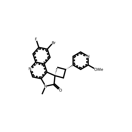 COc1cc([C@H]2C[C@]3(C2)C(=O)N(C)c2cnc4cc(F)c(Br)cc4c23)ccn1